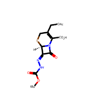 CC(=O)OCC1=C(C(=O)O)N2C(=O)/C(=N\NC(=O)OC(C)(C)C)[C@H]2SC1